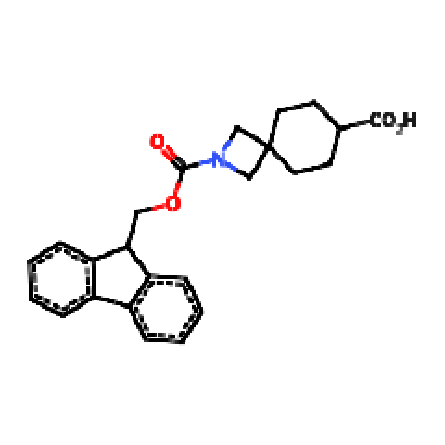 O=C(O)C1CCC2(CC1)CN(C(=O)OCC1c3ccccc3-c3ccccc31)C2